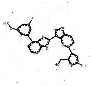 COc1cc(F)cc(-c2cccc3[nH]c(-c4n[nH]c5ccc(-c6cn(C)nc6CO)nc45)nc23)c1